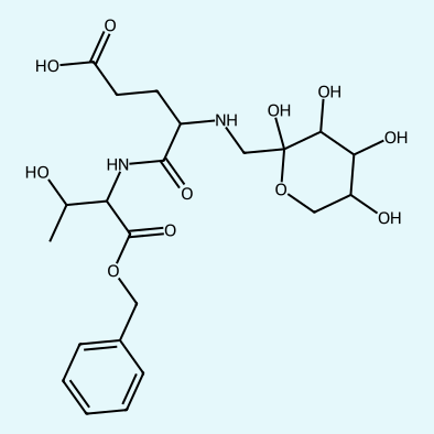 CC(O)C(NC(=O)C(CCC(=O)O)NCC1(O)OCC(O)C(O)C1O)C(=O)OCc1ccccc1